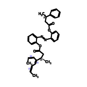 C\C=C/C=C(\C=C/C)[C@@H](C)CC(=O)Oc1ccccc1N=Nc1ccccc1OC(=O)C[C@@H](C)c1ccccc1